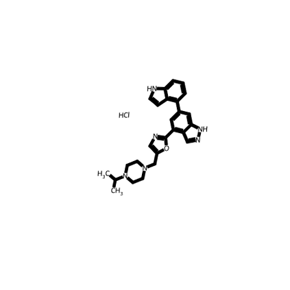 CC(C)N1CCN(Cc2cnc(-c3cc(-c4cccc5[nH]ccc45)cc4[nH]ncc34)o2)CC1.Cl